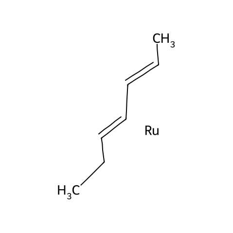 CC=CC=CCC.[Ru]